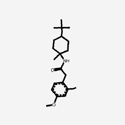 COc1ccc(CC(=O)NC2(C)CCC(C(C)(C)C)CC2)c(C)c1